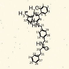 Cc1ccccc1-c1cc(NCc2ccc(CNC(=O)CCc3ccccc3)cc2)n2ncc(C)c2n1